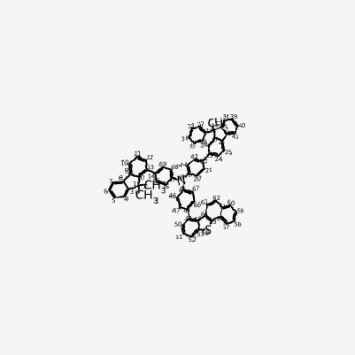 CC1(C)c2ccccc2-c2cccc(-c3ccc(N(c4ccc(-c5ccc6c(c5)C(C)(c5ccccc5)c5ccccc5-6)cc4)c4ccc(-c5cccc6sc7c8ccccc8ccc7c56)cc4)cc3)c21